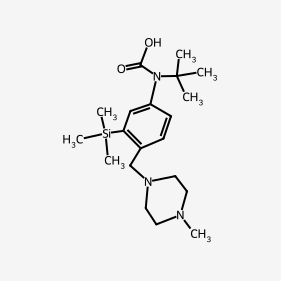 CN1CCN(Cc2ccc(N(C(=O)O)C(C)(C)C)cc2[Si](C)(C)C)CC1